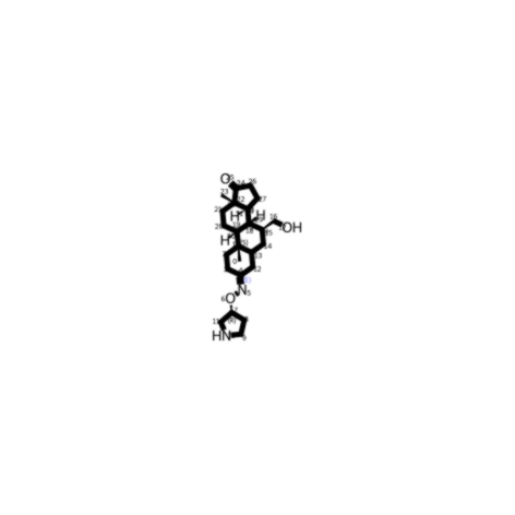 C[C@]12CC/C(=N\O[C@@H]3CCNC3)CC1C[C@H](CO)[C@@H]1[C@@H]2CC[C@]2(C)C(=O)CC[C@@H]12